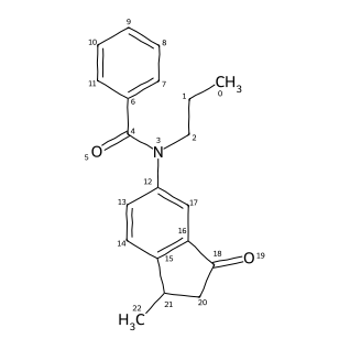 CCCN(C(=O)c1ccccc1)c1ccc2c(c1)C(=O)CC2C